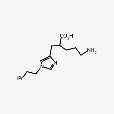 CC(C)CCn1cnc(CC(CCCN)C(=O)O)c1